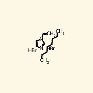 Br.Br.C=Cn1ccnc1.CCCCCCCC